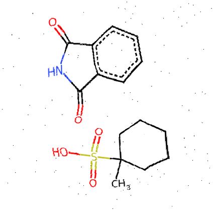 CC1(S(=O)(=O)O)CCCCC1.O=C1NC(=O)c2ccccc21